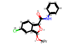 CC(C)Oc1oc(C(=O)Nc2ccccc2)c2ccc(Cl)cc12